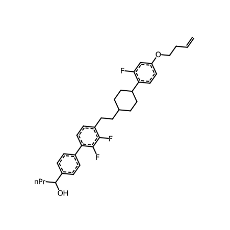 C=CCCOc1ccc(C2CCC(CCc3ccc(-c4ccc(C(O)CCC)cc4)c(F)c3F)CC2)c(F)c1